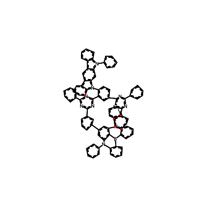 c1ccc(-c2nc(-c3ccccc3)nc(-c3ccc(-n4c5ccccc5c5cc6c7ccccc7n(-c7ccccc7)c6cc54)c(-c4nc(-c5ccccc5)nc(-c5cccc(-c6cc7c8c(c6)N(c6ccccc6)c6ccccc6B8c6ccccc6N7c6ccccc6)c5)n4)c3)n2)cc1